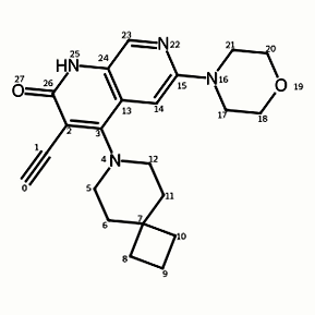 C#Cc1c(N2CCC3(CCC3)CC2)c2cc(N3CCOCC3)ncc2[nH]c1=O